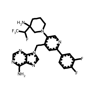 Nc1ncnc2c1ncn2Cc1cc(-c2ccc(F)c(F)c2)ncc1N1CCCC(N)(C(F)C(F)(F)F)C1